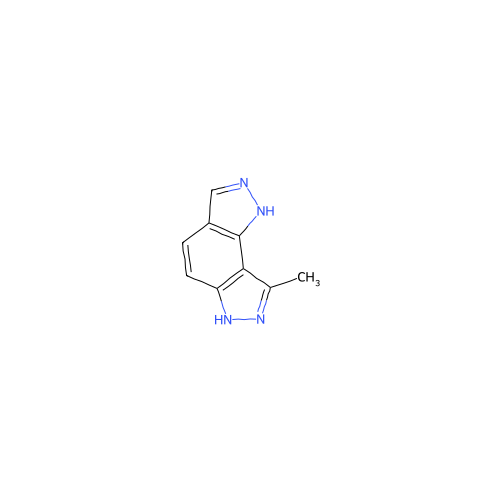 Cc1n[nH]c2ccc3cn[nH]c3c12